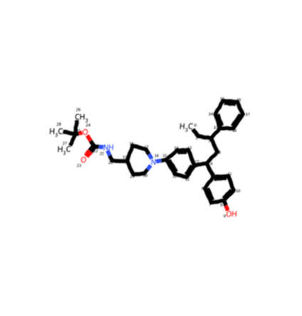 CCC(CC(c1ccc(O)cc1)c1ccc(N2CCC(CNC(=O)OC(C)(C)C)CC2)cc1)c1ccccc1